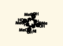 COc1cc(-c2c3nc(c(-c4ccc(O)c(OC)c4)c4ccc([nH]4)c(-c4ccc(O)c(OC)c4)c4nc(c(-c5ccc(O)c(OC)c5)c5ccc2[nH]5)C=C4)C=C3)ccc1O.[Ni]